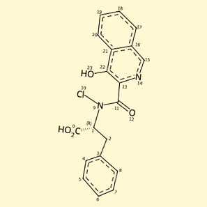 O=C(O)[C@@H](Cc1ccccc1)N(Cl)C(=O)c1ncc2ccccc2c1O